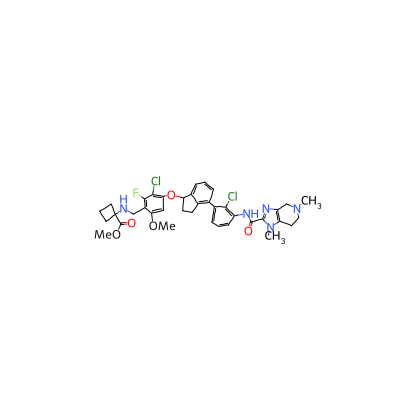 COC(=O)C1(NCc2c(OC)cc(OC3CCc4c(-c5cccc(NC(=O)c6nc7c(n6C)CCN(C)C7)c5Cl)cccc43)c(Cl)c2F)CCC1